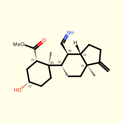 C=C1CC[C@H]2[C@H](C=N)[C@@H]([C@@]3(C)CC[C@H](O)C[C@@H]3C(=O)OC)CC[C@]12C